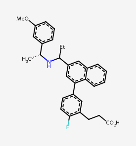 CCC(N[C@H](C)c1cccc(OC)c1)c1cc(-c2ccc(F)c(CCC(=O)O)c2)c2ccccc2c1